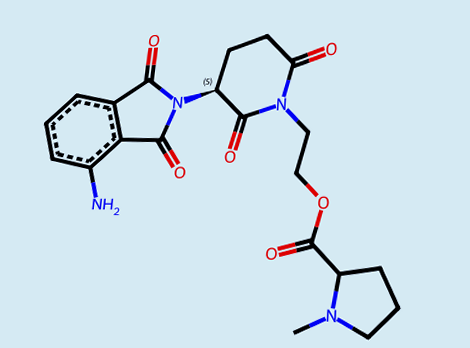 CN1CCCC1C(=O)OCCN1C(=O)CC[C@H](N2C(=O)c3cccc(N)c3C2=O)C1=O